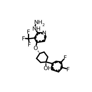 NNc1nccc(O[C@H]2CC[C@@](O)(c3ccc(F)c(F)c3)CC2)c1C(F)(F)F